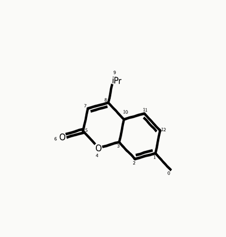 CC1=CC2OC(=O)C=C(C(C)C)C2C=C1